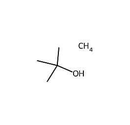 C.CC(C)(C)O